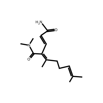 CC(C)=CCC/C(C)=C(\C=CC(N)=O)C(=O)N(C)C